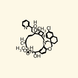 CO[C@@]1(C[C@H](O)c2ccccn2)/C=C/C[C@H](C)[C@@H](C)S(=O)(=O)NC(O)c2ccc3c(c2)N(C[C@@H]2CC[C@H]21)C[C@@]1(CCCc2cc(Cl)ccc21)CO3